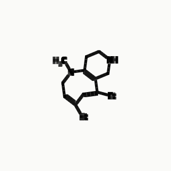 CCC1=C/CN(C)C2=C(CNCC2)\C(CC)=C\1